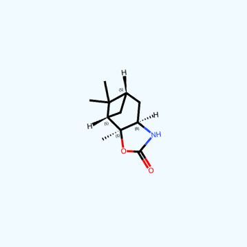 CC1(C)[C@@H]2C[C@H]3NC(=O)O[C@@]3(C)[C@H]1C2